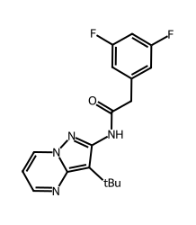 CC(C)(C)c1c(NC(=O)Cc2cc(F)cc(F)c2)nn2cccnc12